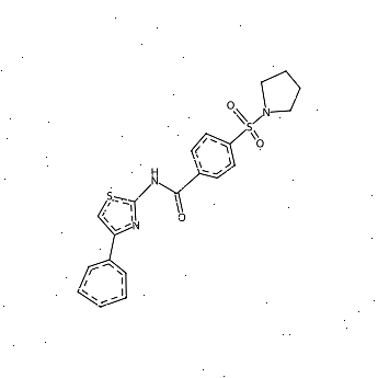 O=C(Nc1nc(-c2ccccc2)cs1)c1ccc(S(=O)(=O)N2CCCC2)cc1